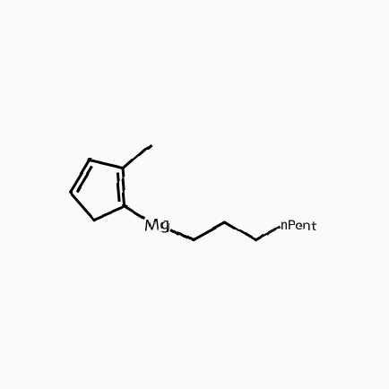 CCCCCCC[CH2][Mg][C]1=C(C)C=CC1